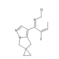 C/C=C(F)\C(=N/CCl)c1cnn2c1CC1(CC1)C2